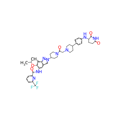 CC(C)Oc1cc2nn(C3CCN(C(=O)CN4CCC(c5ccc(NC6CCC(=O)NC6=O)cc5)CC4)CC3)cc2cc1NC(=O)c1cccc(C(F)(F)F)n1